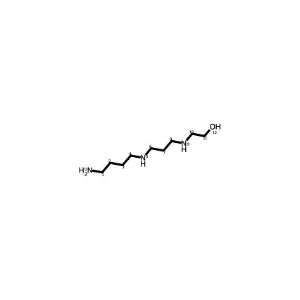 NCCCCNCCCNCCO